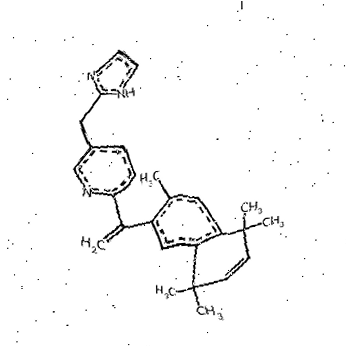 C=C(c1ccc(Cc2ncc[nH]2)cn1)c1cc2c(cc1C)C(C)(C)C=CC2(C)C